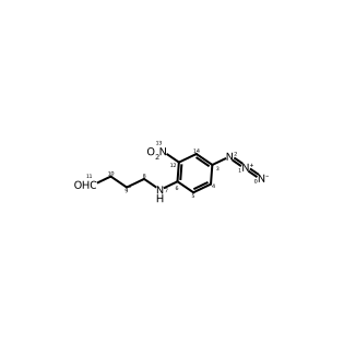 [N-]=[N+]=Nc1ccc(NC[CH]CC=O)c([N+](=O)[O-])c1